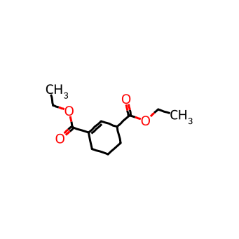 CCOC(=O)C1=CC(C(=O)OCC)CCC1